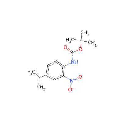 CC(C)c1ccc(NC(=O)OC(C)(C)C)c([N+](=O)[O-])c1